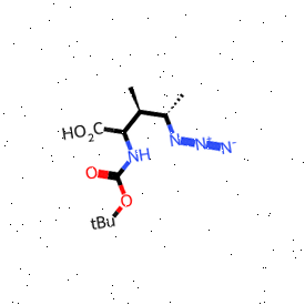 C[C@H](N=[N+]=[N-])[C@H](C)C(NC(=O)OC(C)(C)C)C(=O)O